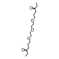 CCC(=O)CCCOCCOCCOCCCC(=O)CC